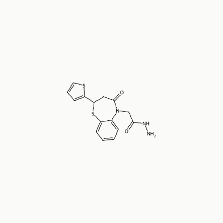 NNC(=O)CN1C(=O)CC(c2cccs2)Sc2ccccc21